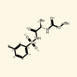 CC[C@H](C)[C@H](NC(=O)OC(C)(C)C)C(=O)NS(=O)(=O)c1cccc(C)c1